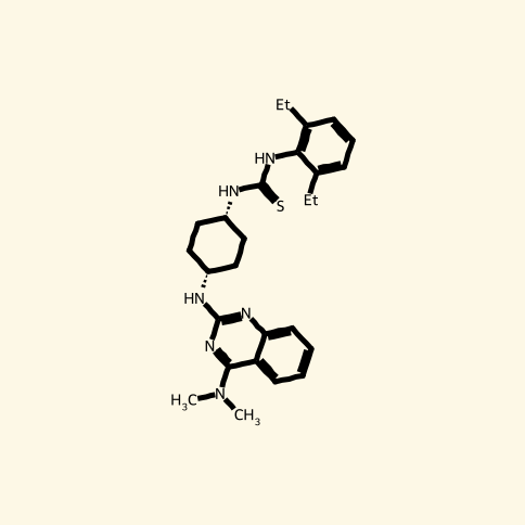 CCc1cccc(CC)c1NC(=S)N[C@H]1CC[C@@H](Nc2nc(N(C)C)c3ccccc3n2)CC1